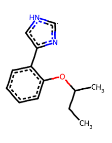 CCC(C)Oc1ccccc1-c1c[nH][c]n1